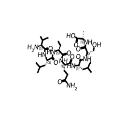 CC[C@H](NC(=O)[C@H](CC(C)C)NC(=O)[C@@H](N)C(C)C)C(=O)N[C@@H](CCC(N)=O)C(=O)N[C@@H](CC(C)C)C(=O)N[C@@H](CO)C(=O)N[C@@H](C)C(=O)O